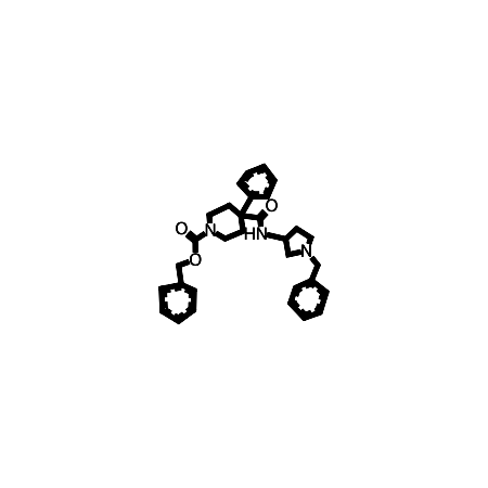 O=C(OCc1ccccc1)N1CCC(C(=O)NC2CCN(Cc3ccccc3)C2)(c2ccccc2)CC1